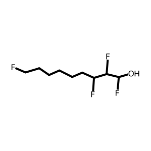 OC(F)C(F)C(F)CCCCCCF